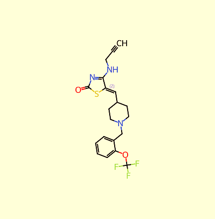 C#CCNC1=NC(=O)S/C1=C\C1CCN(Cc2ccccc2OC(F)(F)F)CC1